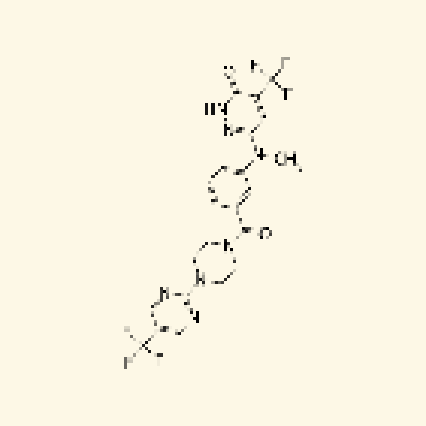 CN(c1cccc(C(=O)N2CCN(c3ncc(C(F)(F)F)cn3)CC2)c1)c1cc(C(F)(F)F)c(=O)[nH]n1